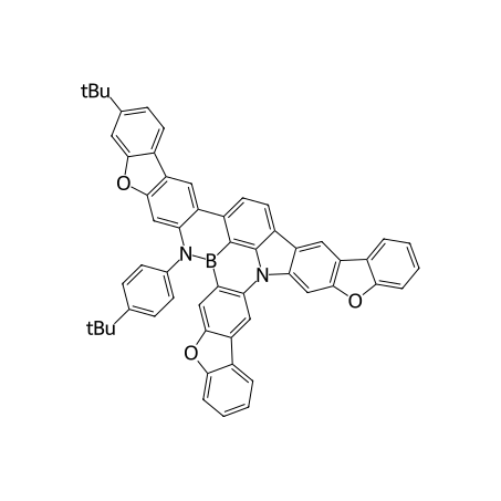 CC(C)(C)c1ccc(N2B3c4cc5oc6ccccc6c5cc4-n4c5cc6oc7ccccc7c6cc5c5ccc(c3c54)-c3cc4c(cc32)oc2cc(C(C)(C)C)ccc24)cc1